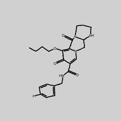 CCCCOc1c2n(cc(C(=O)NCc3ccc(F)cc3)c1=O)CC1NCCCN1C2=O